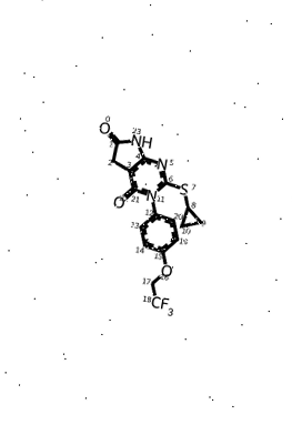 O=C1Cc2c(nc(SC3CC3)n(-c3ccc(OCC(F)(F)F)cc3)c2=O)N1